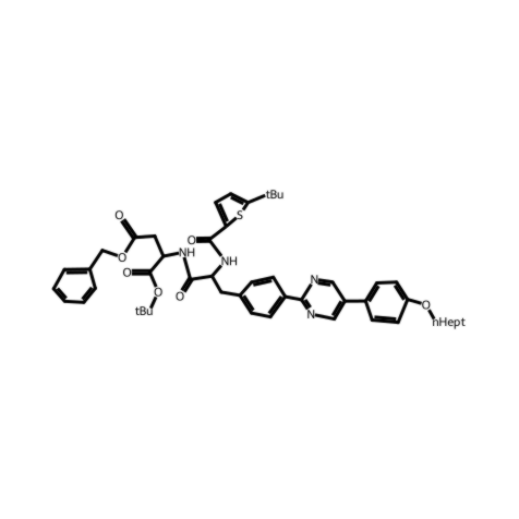 CCCCCCCOc1ccc(-c2cnc(-c3ccc(CC(NC(=O)c4ccc(C(C)(C)C)s4)C(=O)NC(CC(=O)OCc4ccccc4)C(=O)OC(C)(C)C)cc3)nc2)cc1